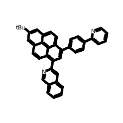 CC(C)(C)c1cc2ccc3c(-c4ccc(-c5ccccn5)cc4)cc(-c4cc5ccccc5cn4)c4ccc(c1)c2c34